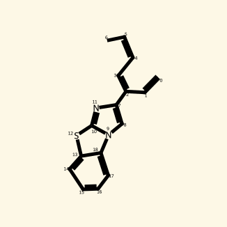 C=C/C(=C\C=C/C)c1cn2c(n1)sc1ccccc12